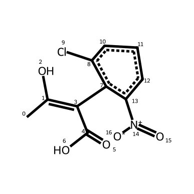 CC(O)=C(C(=O)O)c1c(Cl)cccc1[N+](=O)[O-]